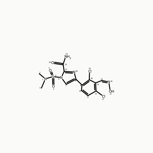 CN(C)S(=O)(=O)n1cc(-c2ccc(Cl)c(/C=N\O)c2Cl)nc1C(N)=O